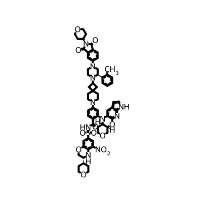 Cc1ccccc1[C@@H]1CN(c2ccc3c(c2)C(=O)N(C2CCOCC2)C3=O)CCN1C1CC2(CCN(c3ccc(C(=O)NS(=O)(=O)c4cc5c(c([N+](=O)[O-])c4)N[C@H](C4CCOCC4)CO5)c(N4c5cc6cc[nH]c6nc5O[C@H]5COCC[C@@H]54)c3)CC2)C1